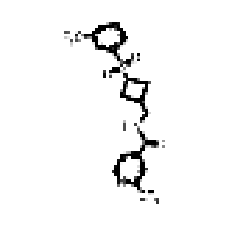 O=C(NCC1CC(S(=O)(=O)c2cccc(C(F)(F)F)c2)C1)c1ccnc(C(F)(F)F)c1